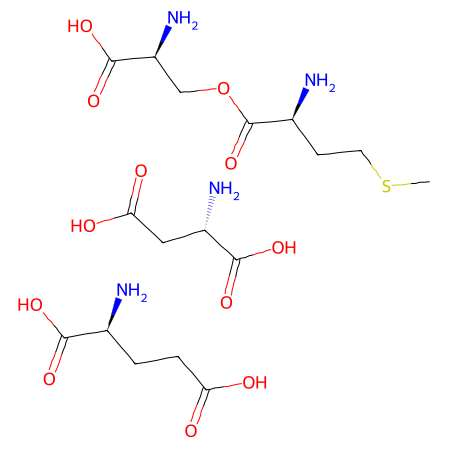 CSCC[C@H](N)C(=O)OC[C@H](N)C(=O)O.N[C@@H](CC(=O)O)C(=O)O.N[C@@H](CCC(=O)O)C(=O)O